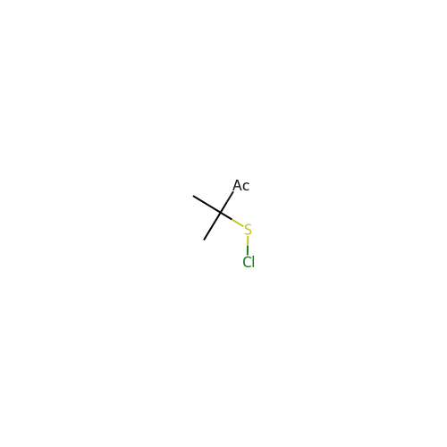 CC(=O)C(C)(C)SCl